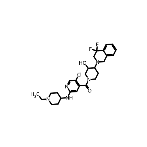 CCN1CCC(Nc2cc(C(=O)N3CCC(N4Cc5ccccc5C(F)(F)C4)C(O)C3)c(Cl)cn2)CC1